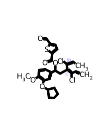 C=C/C(Cl)=C(CC(OC(=O)c1ccc(C=O)s1)c1ccc(OC)c(OC2CCCC2)c1)\C(Cl)=C/C